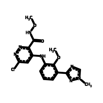 CONC(=O)c1nnc(Cl)cc1Nc1cccc(-c2ncn(C)n2)c1OC